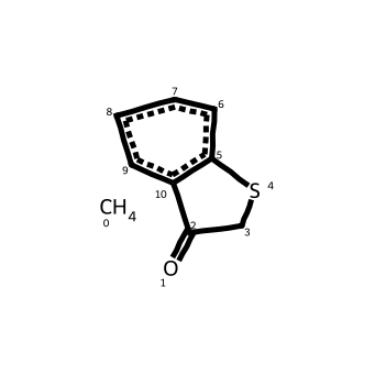 C.O=C1CSc2ccccc21